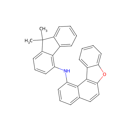 CC1(C)c2ccccc2-c2c(Nc3cccc4ccc5oc6ccccc6c5c34)cccc21